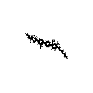 CCCCCCCc1ccc(-c2ccc(-c3ccc(C4COC(CCC)OC4)cc3F)cc2)c(F)c1F